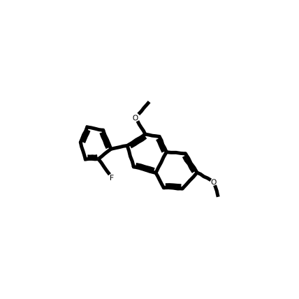 COc1ccc2cc(-c3ccccc3F)c(OC)cc2c1